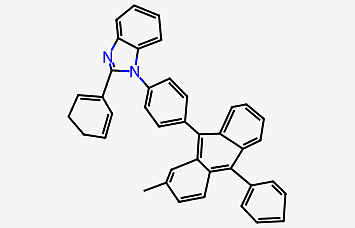 Cc1ccc2c(-c3ccccc3)c3ccccc3c(-c3ccc(-n4c(C5=CCCC=C5)nc5ccccc54)cc3)c2c1